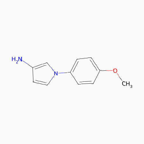 COc1ccc(-n2ccc(N)c2)cc1